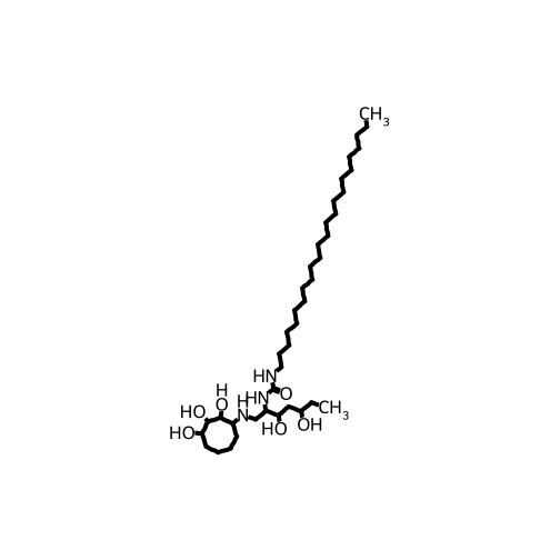 CCCCCCCCCCCCCCCCCCCCCCCCNC(=O)NC(CNC1CCCCC(O)C(O)C1O)C(O)CC(O)CC